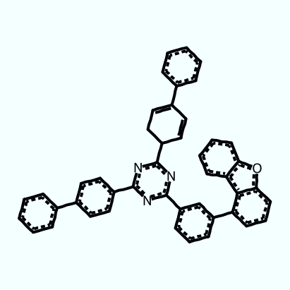 C1=CC(c2nc(-c3ccc(-c4ccccc4)cc3)nc(-c3cccc(-c4cccc5oc6ccccc6c45)c3)n2)CC=C1c1ccccc1